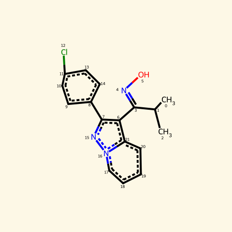 CC(C)C(=NO)c1c(-c2ccc(Cl)cc2)nn2ccccc12